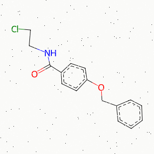 O=C(NCCCl)c1ccc(OCc2ccccc2)cc1